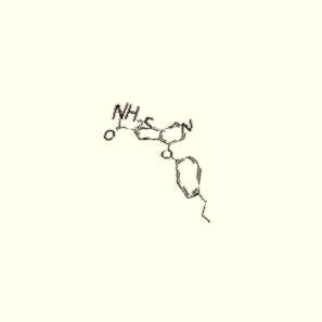 CCCc1ccc(Oc2cncc3sc(C(N)=O)cc23)cc1